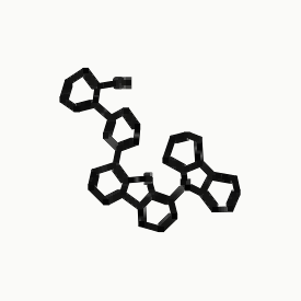 Oc1ccccc1-c1cccc(-c2cccc3c2sc2c(-n4c5ccccc5c5ccccc54)cccc23)c1